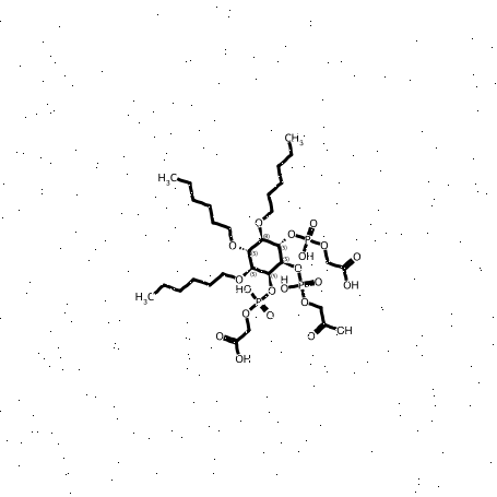 CCCCCCO[C@@H]1[C@@H](OCCCCCC)[C@H](OP(=O)(O)OCC(=O)O)[C@@H](OP(=O)(O)OCC(=O)O)[C@@H](OP(=O)(O)OCC(=O)O)[C@H]1OCCCCCC